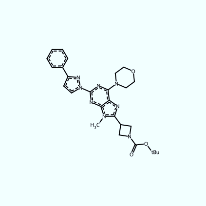 Cn1c(C2CN(C(=O)OC(C)(C)C)C2)nc2c(N3CCOCC3)nc(-n3ccc(-c4ccccc4)n3)nc21